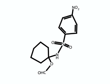 O=COC1(NS(=O)(=O)c2ccc([N+](=O)[O-])cc2)CCCCC1